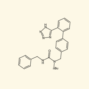 CCCCN(Cc1ccc(-c2ccccc2-c2nnn[nH]2)cc1)C(=O)NCc1ccccc1